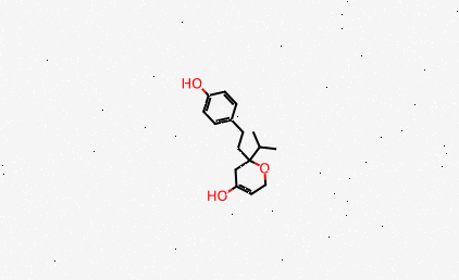 CC(C)C1(CCc2ccc(O)cc2)CC(O)=CCO1